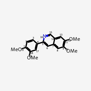 COc1ccc(-c2cc3cc(OC)c(OC)cc3cn2)cc1OC